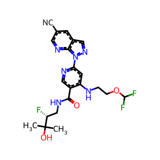 CC(C)(O)[C@H](F)CNC(=O)c1cnc(-n2ncc3cc(C#N)cnc32)cc1NCCOC(F)F